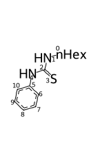 CCCCCCNC(=S)Nc1ccccc1